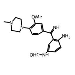 COc1cc(C(=N)c2cc(NC=O)ccc2N)ccc1N1CCN(C)CC1